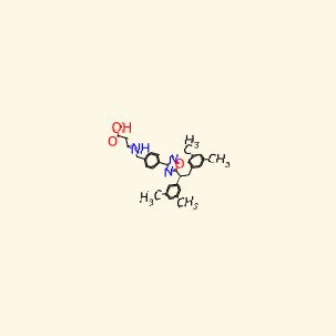 Cc1cc(C)cc(CC(c2cc(C)cc(C)c2)c2nc(-c3ccc(CNCCC(=O)O)cc3)no2)c1